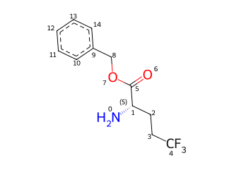 N[C@@H](CCC(F)(F)F)C(=O)OCc1ccccc1